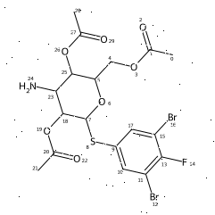 CC(=O)OCC1OC(Sc2cc(Br)c(F)c(Br)c2)C(OC(C)=O)C(N)C1OC(C)=O